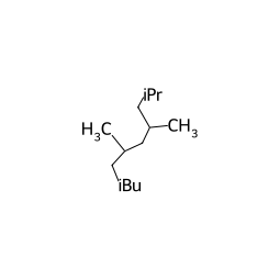 C[CH]C(C)CC(C)CC(C)CC(C)C